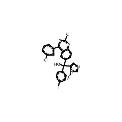 Cn1cncc1C(O)(c1ccc(I)cc1)c1ccc2nc(Cl)nc(-c3cccc(Cl)c3)c2c1